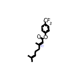 CC(C)=CCC/C(C)=C/C(=O)Oc1ccc(C(F)(F)F)cc1